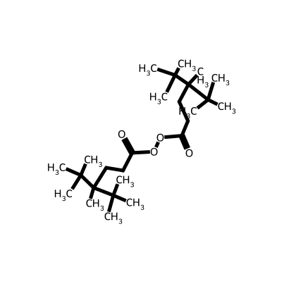 CC(C)(C)C(C)(CCC(=O)OOC(=O)CCC(C)(C(C)(C)C)C(C)(C)C)C(C)(C)C